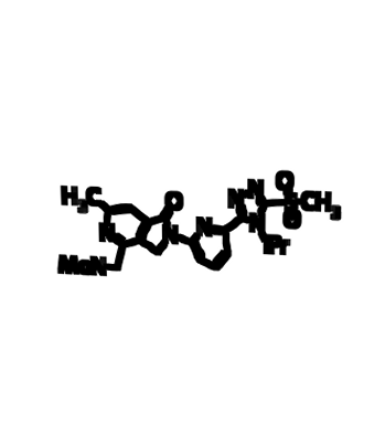 CNCc1nc(C)cc2c1CN(c1cccc(-c3nnc(S(C)(=O)=O)n3C(C)C)n1)C2=O